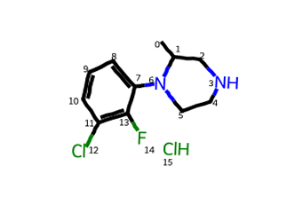 CC1CNCCN1c1cccc(Cl)c1F.Cl